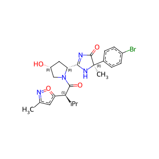 Cc1cc([C@@H](C(=O)N2C[C@H](O)C[C@@H]2C2=NC(=O)[C@@](C)(c3ccc(Br)cc3)N2)C(C)C)on1